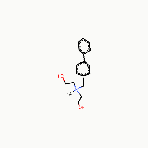 C[N+](CCO)(CCO)Cc1ccc(-c2ccccc2)cc1